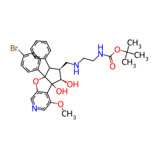 COc1cncc2c1C1(O)[C@H](O)[C@H](CNCCNC(=O)OC(C)(C)C)C(c3ccccc3)C1(c1ccc(Br)cc1)O2